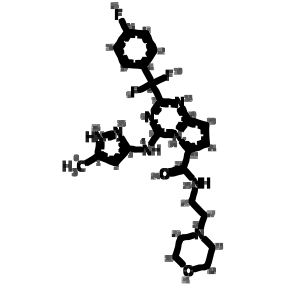 Cc1cc(Nc2nc(C(F)(F)c3ccc(F)cc3)nc3ccc(C(=O)NCCN4CCOCC4)n23)n[nH]1